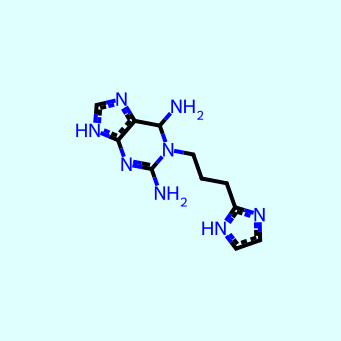 NC1=Nc2[nH]cnc2C(N)N1CCCc1ncc[nH]1